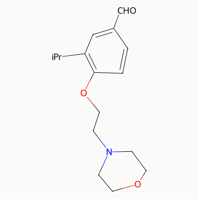 CC(C)c1cc(C=O)ccc1OCCN1CCOCC1